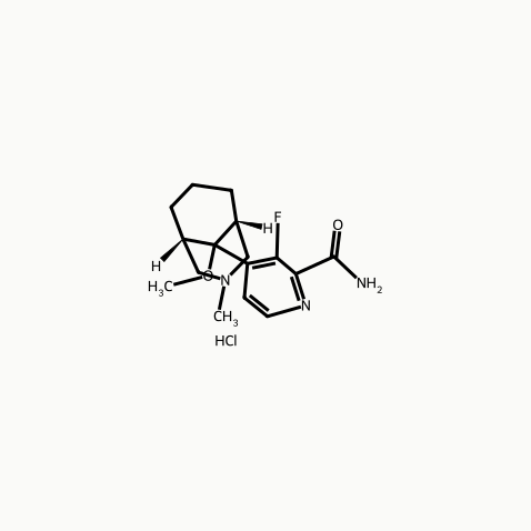 COC1(c2ccnc(C(N)=O)c2F)[C@@H]2CCC[C@H]1CN(C)C2.Cl